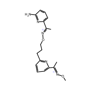 CO/N=C(\C)c1cccc(CCCO/N=C(\C)c2cccc(N)n2)n1